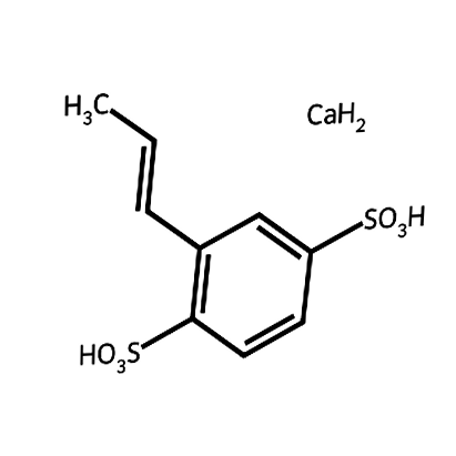 CC=Cc1cc(S(=O)(=O)O)ccc1S(=O)(=O)O.[CaH2]